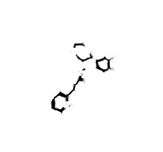 O=C(CCc1ccccn1)NC[C@@H]1CNCCO[C@H]1c1ccc(Cl)c(F)c1